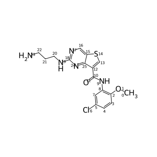 COc1ccc(Cl)cc1NC(=O)c1csc2cnc(NCCCN)nc12